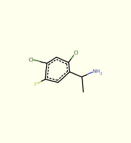 CC(N)c1cc(F)c(Cl)cc1Cl